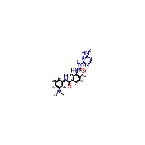 CNc1ncnc(N(C)C(=O)Nc2cc(C(=O)Nc3cccc(N(C)C)c3)ccc2C)n1